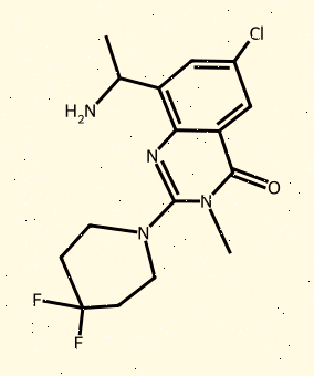 CC(N)c1cc(Cl)cc2c(=O)n(C)c(N3CCC(F)(F)CC3)nc12